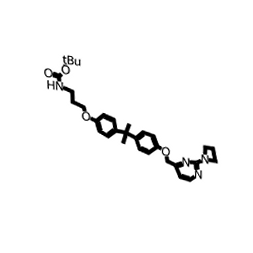 CC(C)(C)OC(=O)NCCCOc1ccc(C(C)(C)c2ccc(OCc3ccnc(N4CCC4)n3)cc2)cc1